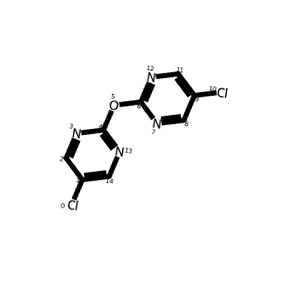 Clc1cnc(Oc2ncc(Cl)cn2)nc1